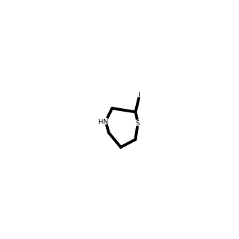 IC1CNCCCS1